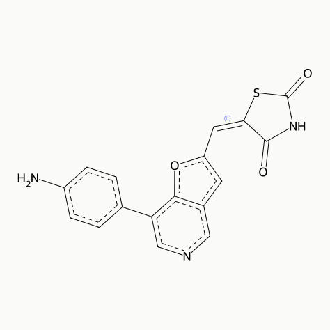 Nc1ccc(-c2cncc3cc(/C=C4/SC(=O)NC4=O)oc23)cc1